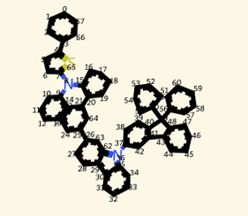 c1ccc(-c2ccc(N(c3ccccc3)c3ccccc3-c3cccc(-c4ccc5c6ccccc6n(-c6ccc7c(c6)-c6ccccc6C7(c6ccccc6)c6ccccc6)c5c4)c3)s2)cc1